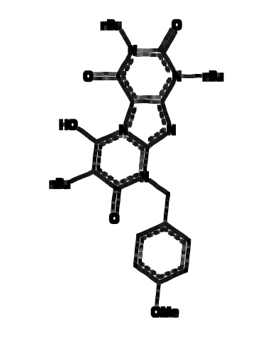 CCCCc1c(O)n2c3c(=O)n(CCCC)c(=O)n(CCCC)c3nc2n(Cc2ccc(OC)cc2)c1=O